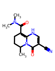 CC1CCC(C(=O)N(C)C)=C2NC=C(C#N)C(=O)N21